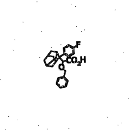 O=C(O)C(OCc1ccccc1)C1(c2ccc(F)cc2)C2CC3CC(C2)CC1C3